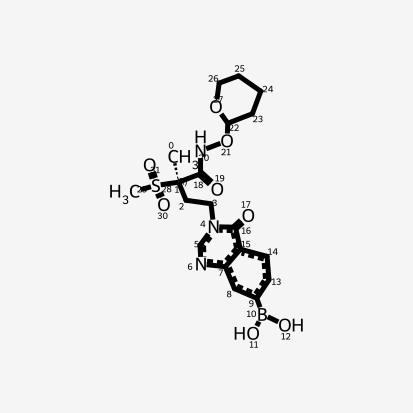 C[C@@](CCn1cnc2cc(B(O)O)ccc2c1=O)(C(=O)NOC1CCCCO1)S(C)(=O)=O